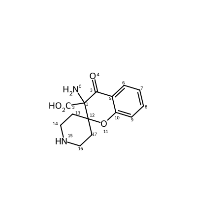 NC1(C(=O)O)C(=O)c2ccccc2OC12CCNCC2